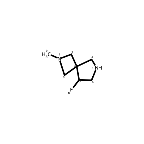 CN1CC2(CNCC2F)C1